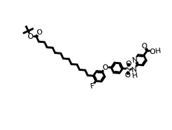 CC(C)(C)OC(=O)CCCCCCCCCCCCCc1cc(Oc2ccc(S(=O)(=O)Nc3ccc(C(=O)O)cn3)cc2)ccc1F